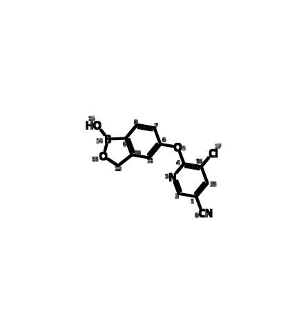 N#Cc1cnc(Oc2ccc3c(c2)COB3O)c(Cl)c1